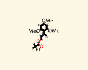 CCC(C)(C)C(=O)OC/C=C(\C)c1c(OC)cc(OC)cc1OC